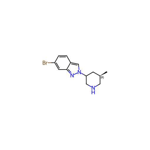 C[C@H]1CNCC(n2cc3ccc(Br)cc3n2)C1